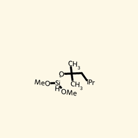 CO[SiH](OC)OC(C)(C)CC(C)C